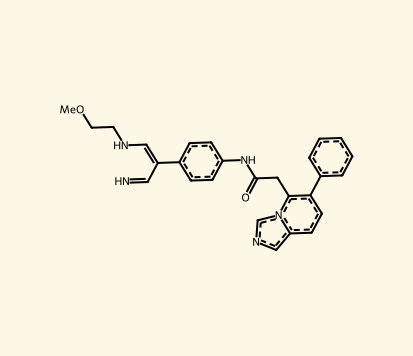 COCCN/C=C(\C=N)c1ccc(NC(=O)Cc2c(-c3ccccc3)ccc3cncn23)cc1